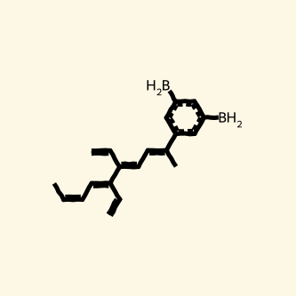 Bc1cc(B)cc(/C(C)=C/C=C(C=C)/C(C=C)=C/C=C\C)c1